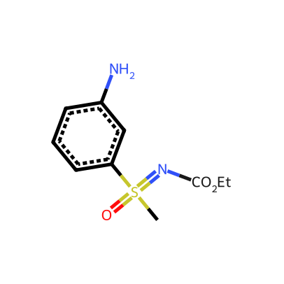 CCOC(=O)N=S(C)(=O)c1cccc(N)c1